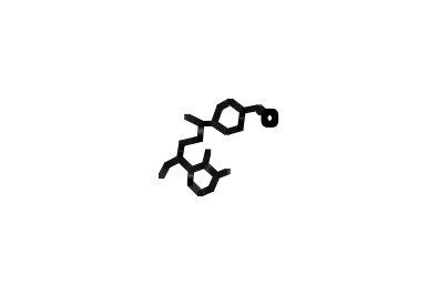 CCC(CCC(C)C1CCC(C=O)CC1)C1CCCC(C)C1C